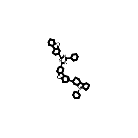 c1ccc(-c2nc(-c3ccc4c(c3)oc3ccccc34)nc(-c3ccc4oc5ccc(-c6ccc7c8ccccc8n(-c8ccccc8)c7c6)cc5c4c3)n2)cc1